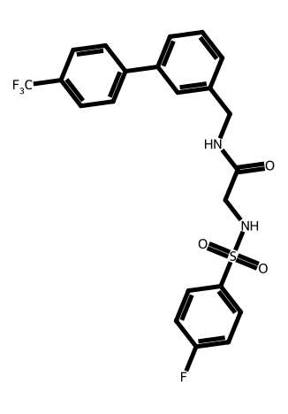 O=C(CNS(=O)(=O)c1ccc(F)cc1)NCc1cccc(-c2ccc(C(F)(F)F)cc2)c1